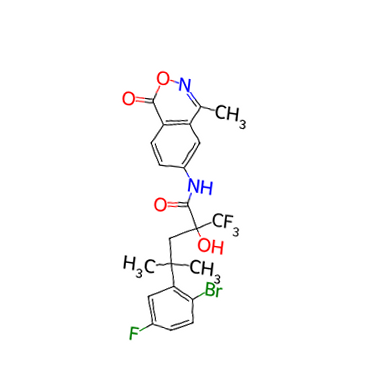 Cc1noc(=O)c2ccc(NC(=O)C(O)(CC(C)(C)c3cc(F)ccc3Br)C(F)(F)F)cc12